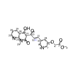 COC(=O)COc1cncc(/C=C/C(=O)c2c(O)c3cccnc3n(C)c2=O)c1